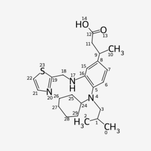 CC(C)CN(c1ccc(C(C)CC(=O)O)cc1NCc1nccs1)C1CCCCC1